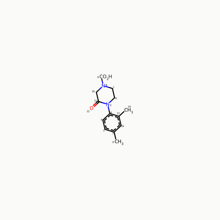 Cc1ccc(N2CCN(C(=O)O)CC2=O)c(C)c1